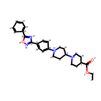 CCOC(=O)C1CCN(C2CCN(c3ccc(-c4noc(-c5ccccc5)n4)cc3)CC2)CC1